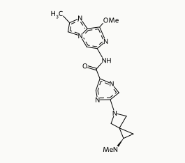 CN[C@@H]1CC12CN(c1cnc(C(=O)Nc3cn4cc(C)nc4c(OC)n3)cn1)C2